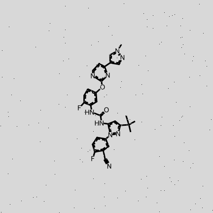 Cn1cc(-c2ccnc(Oc3ccc(F)c(NC(=O)Nc4cc(C(C)(C)C)nn4-c4ccc(F)c(C#N)c4)c3)n2)cn1